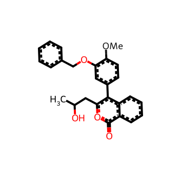 COc1ccc(-c2c(CC(C)O)oc(=O)c3ccccc23)cc1OCc1ccccc1